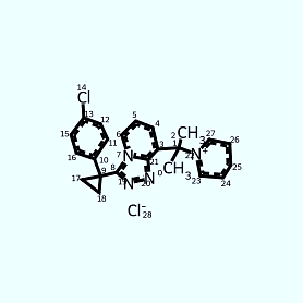 CC(C)(c1cccn2c(C3(c4ccc(Cl)cc4)CC3)nnc12)[n+]1ccccc1.[Cl-]